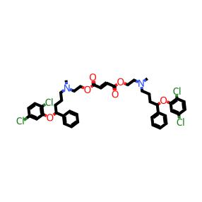 CN(CCCC(Oc1cc(Cl)ccc1Cl)c1ccccc1)CCOC(=O)/C=C/C(=O)OCCN(C)CCCC(Oc1cc(Cl)ccc1Cl)c1ccccc1